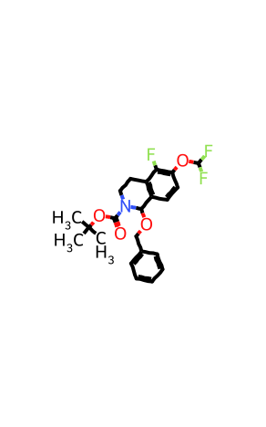 CC(C)(C)OC(=O)N1CCc2c(ccc(OC(F)F)c2F)C1OCc1ccccc1